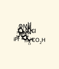 CO[C@H]1CC[C@@H](N(CC(C)C)c2ccc([C@H](C)CC(=O)O)cc2Nc2n[nH]c(Cl)n2)CC1